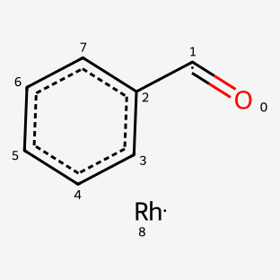 O=[C]c1ccccc1.[Rh]